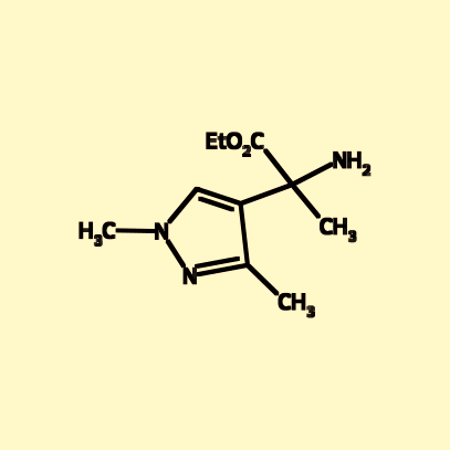 CCOC(=O)C(C)(N)c1cn(C)nc1C